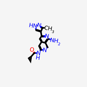 Cc1n[nH]cc1-c1cc2cc(NC(=O)C3CC3)ncc2c(N)n1